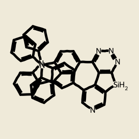 c1ccc(-n2c3ccccc3c3cc(-c4cncc5c4-c4c(nnnc4-c4ccc6c(c4)c4ccccc4n6-c4ccccc4)[SiH2]5)ccc32)cc1